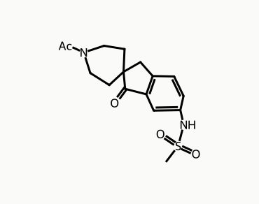 CC(=O)N1CCC2(CC1)Cc1ccc(NS(C)(=O)=O)cc1C2=O